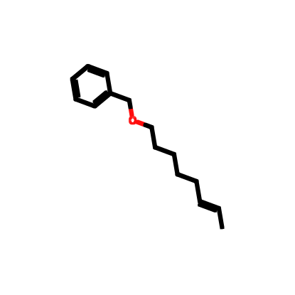 CC=CCCCCCOCc1ccccc1